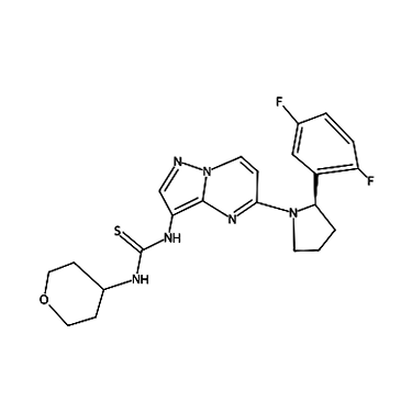 Fc1ccc(F)c([C@H]2CCCN2c2ccn3ncc(NC(=S)NC4CCOCC4)c3n2)c1